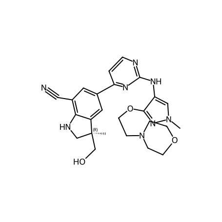 Cn1cc(Nc2nccc(-c3cc(C#N)c4c(c3)[C@@](C)(CO)CN4)n2)c(OCCN2CCOCC2)n1